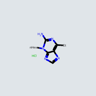 CCCCCCn1c(N)nc(CC)c2ncnc1-2.Cl